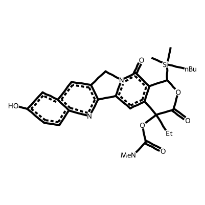 CCCC[Si](C)(C)C1OC(=O)C(CC)(OC(=O)NC)c2cc3n(c(=O)c21)Cc1cc2cc(O)ccc2nc1-3